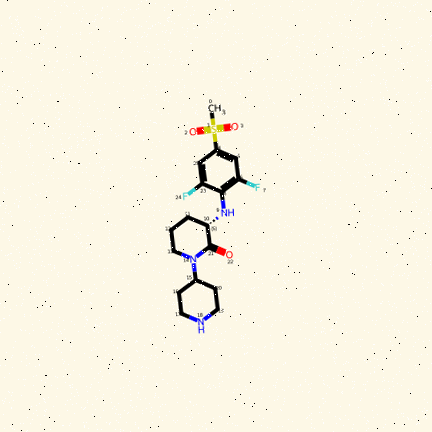 CS(=O)(=O)c1cc(F)c(N[C@H]2CCCN(C3CCNCC3)C2=O)c(F)c1